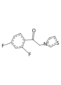 O=C(C[n+]1ccsc1)c1ccc(F)cc1F